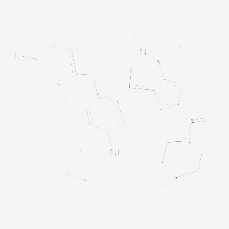 CCS(=O)(=O)Nc1ccc(Oc2c(C)cc(F)cc2C)c(-c2cn(C)c(=O)c3sc(C(=O)N4CCC(C)(F)CC4)cc23)c1